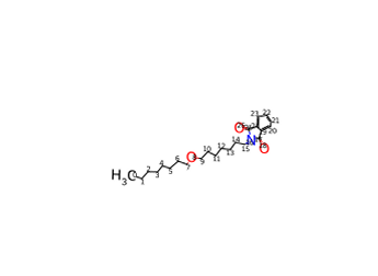 CCCCCCCCOCCCCCCCN1C(=O)c2ccccc2C1=O